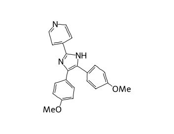 COc1ccc(-c2nc(-c3ccncc3)[nH]c2-c2ccc(OC)cc2)cc1